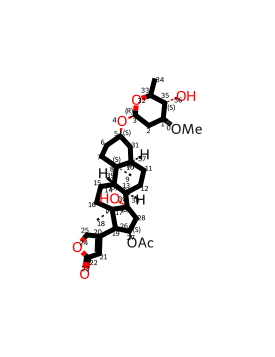 COC1C[C@H](O[C@H]2CC[C@@]3(C)[C@H](CC[C@@H]4[C@@H]3CC[C@]3(C)C(C5=CC(=O)OC5)[C@@H](OC(C)=O)C[C@]43O)C2)OC(C)[C@@H]1O